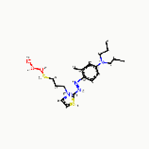 CCCN(CCC)c1ccc(/N=N/c2scc[n+]2CCCSOOO)c(C)c1